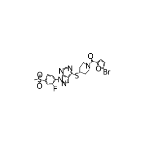 CS(=O)(=O)c1ccc(-n2ncc3c(SC4CCN(C(=O)c5ccc(Br)o5)CC4)ncnc32)c(F)c1